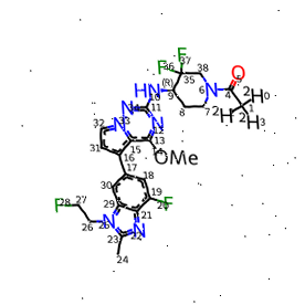 [2H]C([2H])([2H])C(=O)N1CC[C@@H](Nc2nc(OC)c3c(-c4cc(F)c5nc(C)n(CCF)c5c4)ccn3n2)C(F)(F)C1